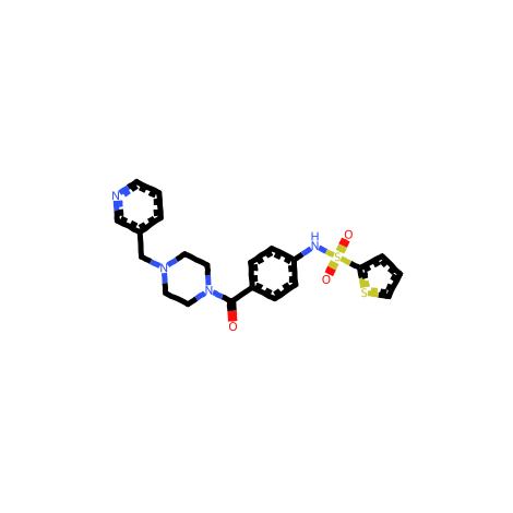 O=C(c1ccc(NS(=O)(=O)c2cccs2)cc1)N1CCN(Cc2cccnc2)CC1